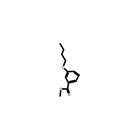 CCCCOc1c[c]cc(C(=O)OC)c1